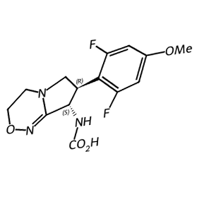 COc1cc(F)c([C@@H]2CN3CCON=C3[C@H]2NC(=O)O)c(F)c1